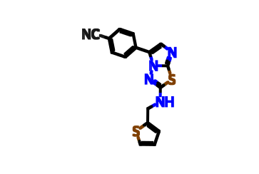 N#Cc1ccc(-c2cnc3sc(NCc4cccs4)nn23)cc1